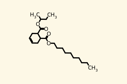 CCCCCCCCCCOC(=O)C1CC=CCC1C(=O)OC(C)CC